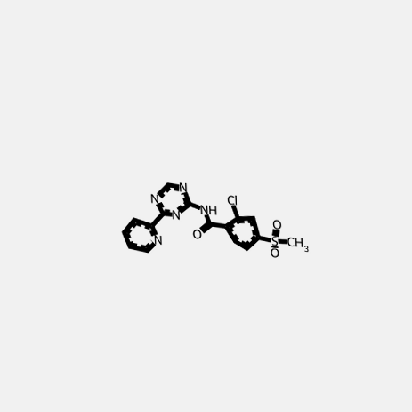 CS(=O)(=O)c1ccc(C(=O)Nc2ncnc(-c3ccccn3)n2)c(Cl)c1